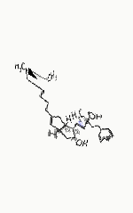 CN(C)CCCCCC1=C[C@H]2C[C@@H](O)[C@H](/C=C/[C@@](C)(O)CCc3ccccc3)[C@H]2C1